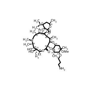 CC[C@H]1OC(=O)[C@H](C)C(O[C@H]2C[C@@](C)(OC)[C@@H](OCCCN)[C@H](C)O2)[C@H](C)[C@@H](O[C@@H]2O[C@H](C)C[C@H](N(C)C)[C@H]2OC(C)=O)[C@](C)(O)C[C@@H](C)CN(C)[C@H](C)[C@@H](O)[C@]1(C)O